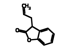 C=CCC1C(=O)Oc2ccccc21